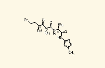 Cc1nnc(NC(=O)[C@@H](NC(=O)N(O)C(=O)[C@@H](O)CCC(C)C)C(C)(C)C)s1